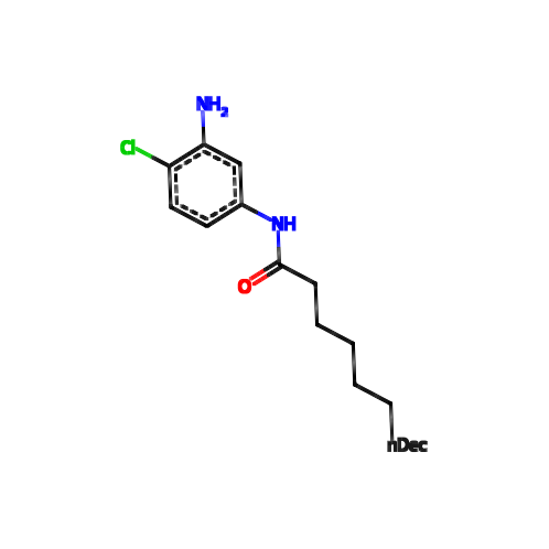 CCCCCCCCCCCCCCCC(=O)Nc1ccc(Cl)c(N)c1